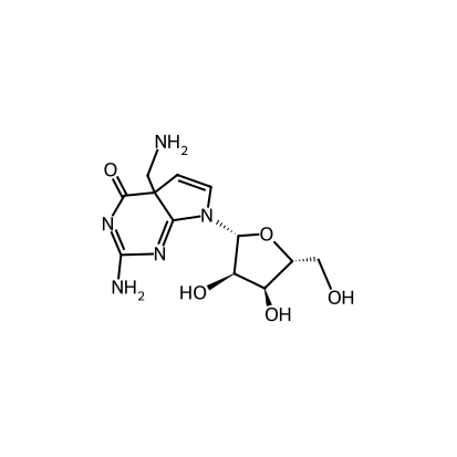 NCC12C=CN([C@@H]3O[C@H](CO)[C@@H](O)[C@H]3O)C1=NC(N)=NC2=O